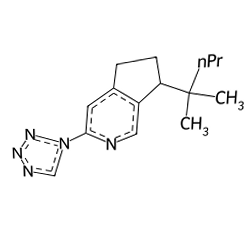 CCCC(C)(C)C1CCc2cc(-n3cnnn3)ncc21